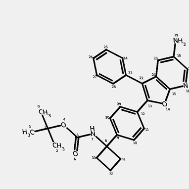 CC(C)(C)OC(=O)NC1(c2ccc(-c3oc4ncc(N)cc4c3-c3ccccc3)cc2)CCC1